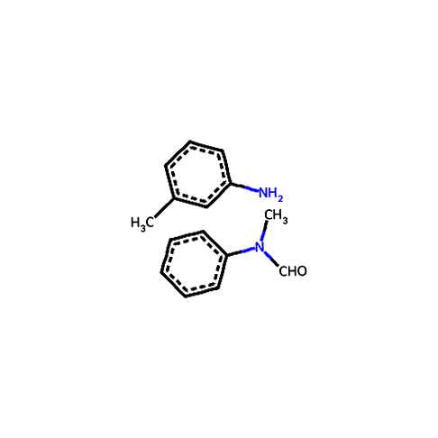 CN(C=O)c1ccccc1.Cc1cccc(N)c1